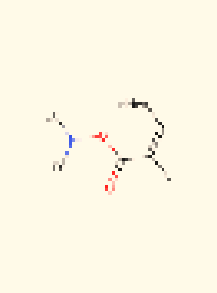 CCCCCCC=C(C)C(=O)ON(CC)CC